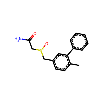 Cc1ccc(C[S+]([O-])CC(N)=O)cc1-c1ccccc1